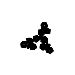 CC1(C)c2ccccc2-c2cccc(-c3cccc(N(c4ccc(-c5ccc6c(c5)C(C)(c5ccccc5)c5ccccc5-6)cc4)c4ccc5c(c4)C4(CCCC4)c4ccccc4-5)c3)c21